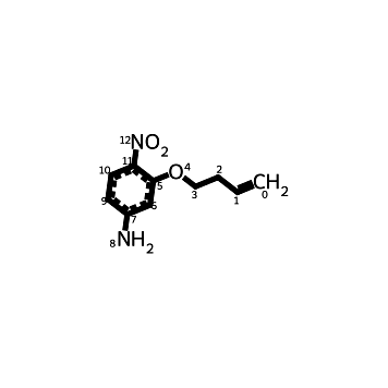 C=CCCOc1cc(N)ccc1[N+](=O)[O-]